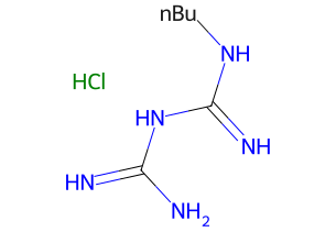 CCCCNC(=N)NC(=N)N.Cl